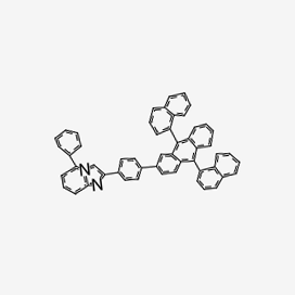 c1ccc(-c2cccc3nc(-c4ccc(-c5ccc6c(-c7cccc8ccccc78)c7ccccc7c(-c7cccc8ccccc78)c6c5)cc4)cn23)cc1